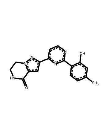 Cc1ccc(-c2nccc(-c3cc4n(n3)CCNC4=O)n2)c(O)c1